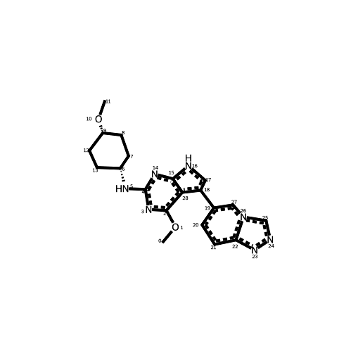 COc1nc(N[C@H]2CC[C@@H](OC)CC2)nc2[nH]cc(-c3ccc4nncn4c3)c12